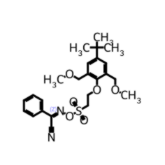 COCc1cc(C(C)(C)C)cc(COC)c1OCCS(=O)(=O)O/N=C(\C#N)c1ccccc1